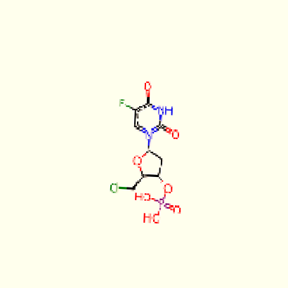 O=c1[nH]c(=O)n([C@H]2C[C@H](OP(=O)(O)O)[C@@H](CCl)O2)cc1F